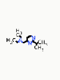 CCN(CC)Cc1ccnc(C(C)C)n1